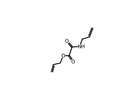 C=CCNC(=O)C(=O)OCC=C